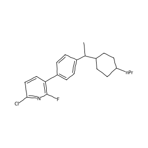 CCCC1CCC(C(C)c2ccc(-c3ccc(Cl)nc3F)cc2)CC1